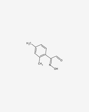 Cc1ccc(C(C=O)=NO)c(C)c1